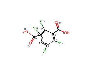 O=C(O)C1=C(F)C(F)=CC(F)(C(=O)O)C1F